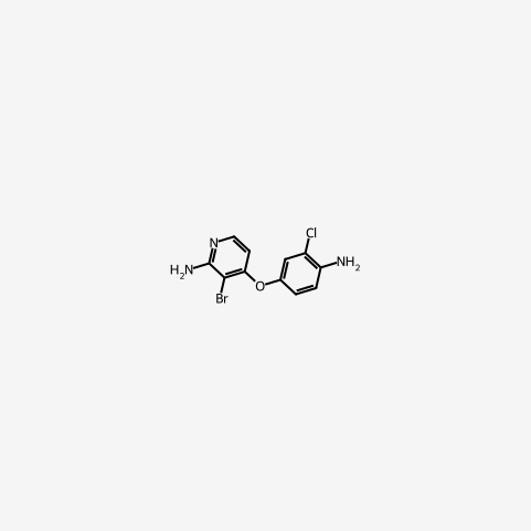 Nc1ccc(Oc2ccnc(N)c2Br)cc1Cl